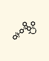 C=C1/C=C\C=C/CN(c2ccccc2)c2cc3c4ccccc4n(-c4ccc(-c5nc6ccccc6s5)cc4)c3cc21